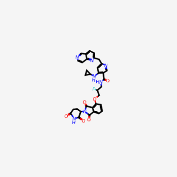 O=C1CCC(N2C(=O)c3cccc(OCC(F)CNC(=O)c4cnc(Cc5ccc6cnccc6n5)cc4NC4CC4)c3C2=O)C(=O)N1